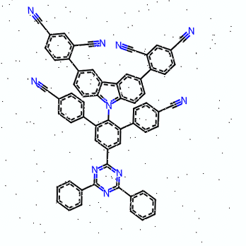 N#Cc1ccc(-c2cc(-c3nc(-c4ccccc4)nc(-c4ccccc4)n3)cc(-c3ccc(C#N)cc3)c2-n2c3ccc(-c4ccc(C#N)cc4C#N)cc3c3cc(-c4ccc(C#N)cc4C#N)ccc32)cc1